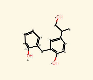 CC(CO)c1ccc(O)c(Cc2ccccc2O)c1